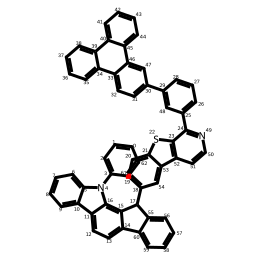 c1ccc(-n2c3ccccc3c3ccc4c(c32)C(c2ccc3sc5c(-c6cccc(-c7ccc8c9ccccc9c9ccccc9c8c7)c6)nccc5c3c2)c2ccccc2-4)cc1